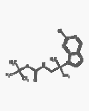 CC(C)(C)OC(=O)NCC(C)(C)n1ccc2cnc(Cl)nc21